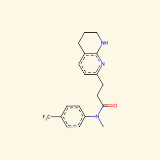 CN(C(=O)CCc1ccc2c(n1)NCCC2)c1ccc(C(F)(F)F)cc1